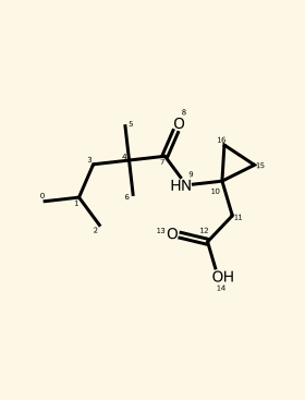 CC(C)CC(C)(C)C(=O)NC1(CC(=O)O)CC1